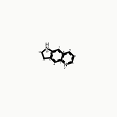 c1cnc2cc3c(cc2c1)NCC3